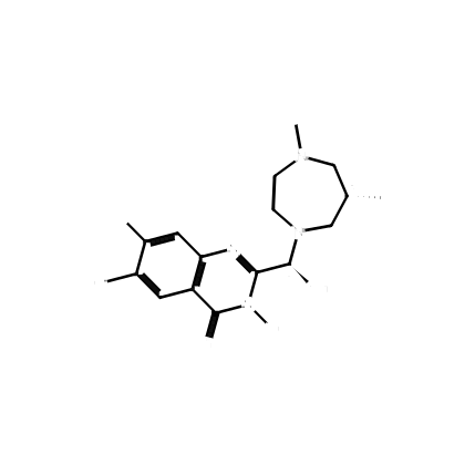 CCC[C@@H](c1nc2cc(F)c(Cl)cc2c(=O)n1CC)N1CCN(C)C[C@H](C)C1